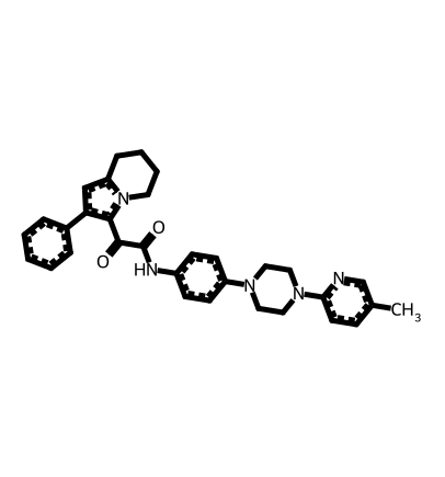 Cc1ccc(N2CCN(c3ccc(NC(=O)C(=O)c4c(-c5ccccc5)cc5n4CCCC5)cc3)CC2)nc1